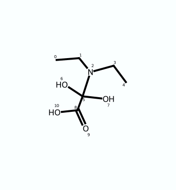 CCN(CC)C(O)(O)C(=O)O